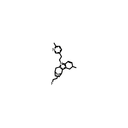 Cc1ccc(CCn2c3c(c4c2CC2CCC4N2CCF)CC(C)C=C3)cn1